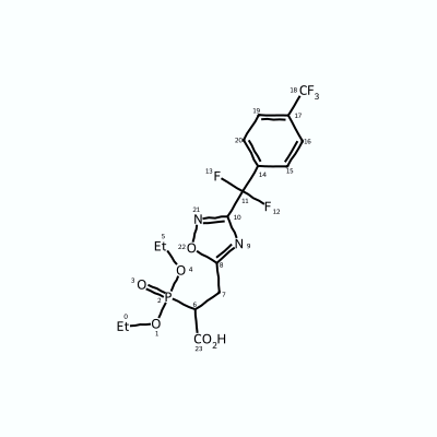 CCOP(=O)(OCC)C(Cc1nc(C(F)(F)c2ccc(C(F)(F)F)cc2)no1)C(=O)O